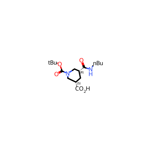 CCCCNC(=O)[C@@H]1C[C@H](C(=O)O)CN(C(=O)OC(C)(C)C)C1